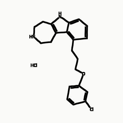 Cl.Clc1cccc(OCCCc2cccc3[nH]c4c(c23)CCNCC4)c1